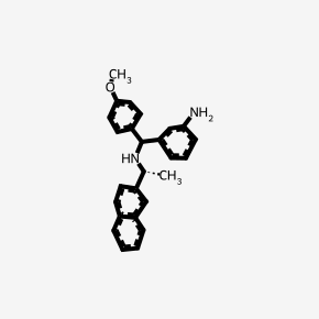 COc1ccc(C(N[C@H](C)c2ccc3ccccc3c2)c2cccc(N)c2)cc1